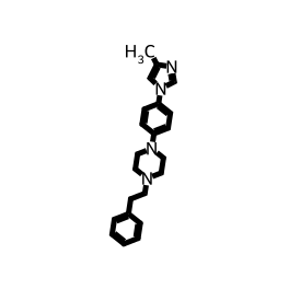 Cc1cn(-c2ccc(N3CCN(CCc4ccccc4)CC3)cc2)cn1